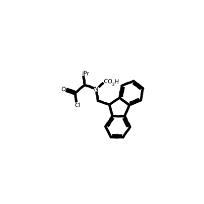 CC(C)C(C(=O)Cl)N(CC1c2ccccc2-c2ccccc21)C(=O)O